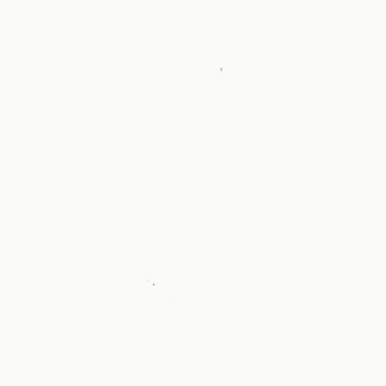 c1ccc(-c2cc(-c3cccc(-c4cccc(-c5ccc6c(c5)C5(c7ccccc7O6)c6ccccc6-c6ccccc65)c4)c3)nc(-c3ccccc3)n2)cc1